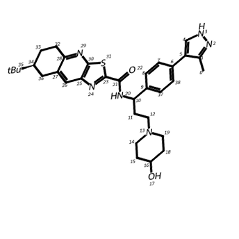 Cc1n[nH]cc1-c1ccc(C(CCN2CCC(O)CC2)NC(=O)c2nc3cc4c(nc3s2)CC[C@H](C(C)(C)C)C4)cc1